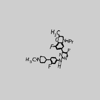 CC1CN(C(C)C)c2cc(-c3nc(Nc4ccc(C5CCN(C)CC5)c(F)c4)ncc3F)cc(F)c2O1